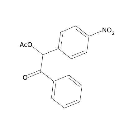 CC(=O)OC(C(=O)c1ccccc1)c1ccc([N+](=O)[O-])cc1